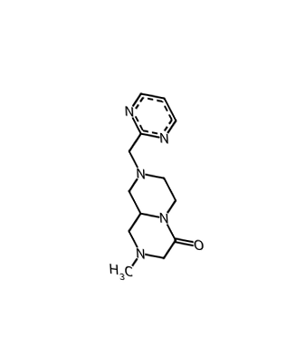 CN1CC(=O)N2CCN(Cc3ncccn3)CC2C1